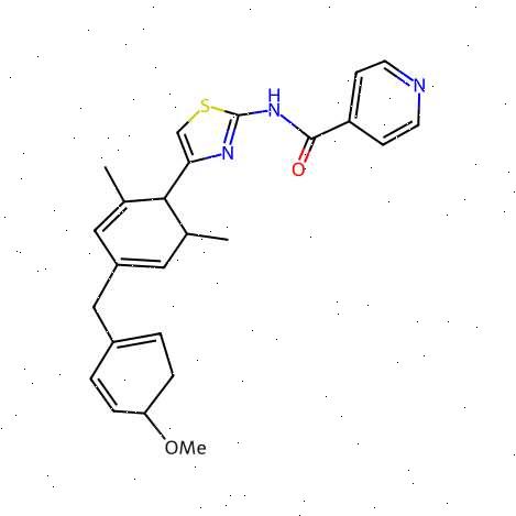 COC1C=CC(CC2=CC(C)C(c3csc(NC(=O)c4ccncc4)n3)C(C)=C2)=CC1